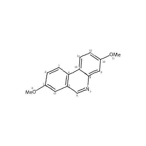 COc1ccc2c(cnc3cc(OC)ccc32)c1